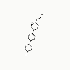 CCCCC1CCC(c2ccc(-c3ccc(F)cc3)cc2)CO1